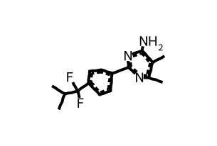 Cc1nc(-c2ccc(C(F)(F)C(C)C)cc2)nc(N)c1C